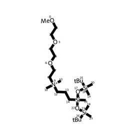 COCCOCCOCC[N+](C)(C)CCC[Si](C)(O[Si](C)(C)C(C)(C)C)O[Si](C)(C)C(C)(C)C